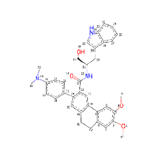 COc1cc2c(cc1OC)-c1cc(C(=O)N[C@@H](CO)Cc3c[nH]c4ccccc34)c(-c3ccc(N(C)C)cc3)cc1CC2